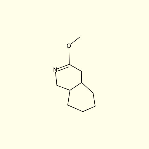 COC1=NCC2CCCCC2C1